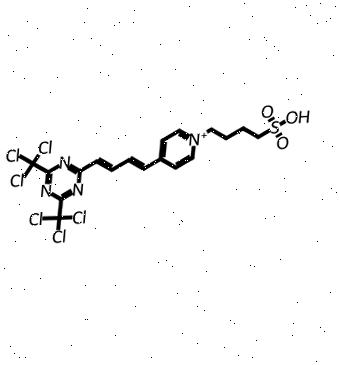 O=S(=O)(O)CCCC[n+]1ccc(C=CC=Cc2nc(C(Cl)(Cl)Cl)nc(C(Cl)(Cl)Cl)n2)cc1